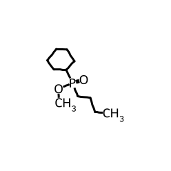 CCCCP(=O)(OC)C1CCCCC1